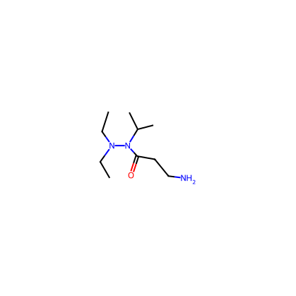 CCN(CC)N(C(=O)CCN)C(C)C